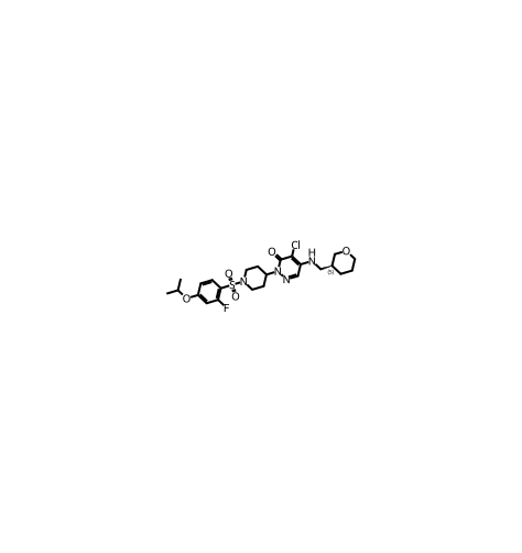 CC(C)Oc1ccc(S(=O)(=O)N2CCC(n3ncc(NC[C@@H]4CCCOC4)c(Cl)c3=O)CC2)c(F)c1